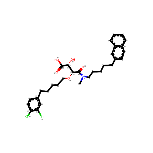 CN(CCCCCc1ccc2ccccc2c1)C(=O)[C@H](OCCCCCc1ccc(Cl)c(Cl)c1)[C@@H](O)C(=O)O